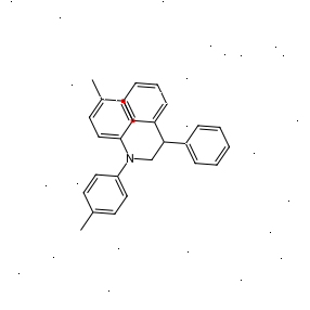 Cc1ccc(N(CC(c2ccccc2)c2ccccc2)c2ccc(C)cc2)cc1